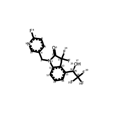 O=C1N(Cc2ccc(F)nc2)c2cccc([C@@H](O)C(F)(F)F)c2C1(F)F